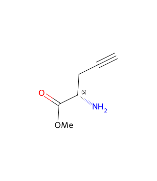 C#CC[C@H](N)C(=O)OC